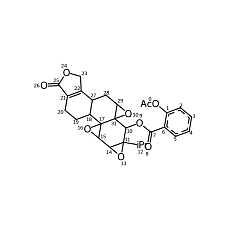 CC(=O)Oc1ccccc1C(=O)OC1C2(C(C)C)OC2C2OC23C2CCC4=C(COC4=O)C2CC2OC213